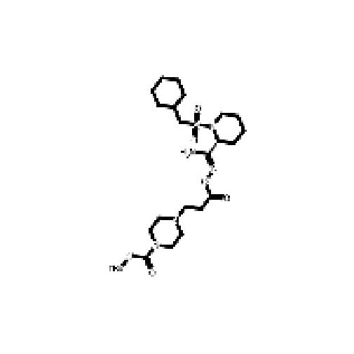 CC(C)(C)OC(=O)N1CCN(CCC(=O)O/N=C(\N)[C@@H]2CCCCN2S(=O)(=O)CC2CCCCC2)CC1